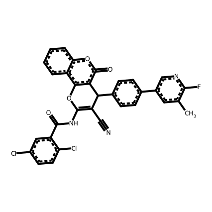 Cc1cc(-c2ccc(C3C(C#N)=C(NC(=O)c4cc(Cl)ccc4Cl)Oc4c3c(=O)oc3ccccc43)cc2)cnc1F